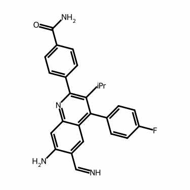 CC(C)c1c(-c2ccc(C(N)=O)cc2)nc2cc(N)c(C=N)cc2c1-c1ccc(F)cc1